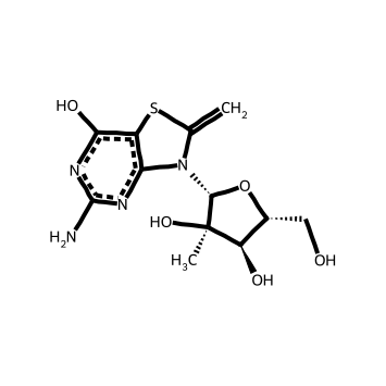 C=C1Sc2c(O)nc(N)nc2N1[C@@H]1O[C@H](CO)[C@@H](O)[C@@]1(C)O